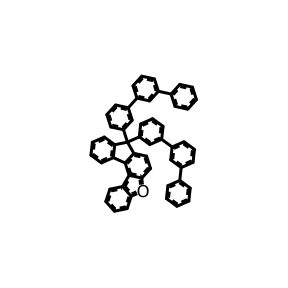 c1ccc(-c2cccc(-c3cccc(C4(c5cccc(-c6cccc(-c7ccccc7)c6)c5)c5ccccc5-c5c4ccc4oc6ccccc6c54)c3)c2)cc1